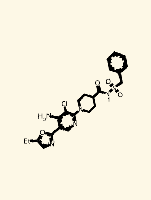 CCc1cnc(-c2cnc(N3CCC(C(=O)NS(=O)(=O)Cc4ccccc4)CC3)c(Cl)c2N)o1